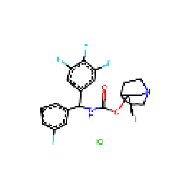 Cl.O=C(NC(c1cccc(F)c1)c1cc(F)c(F)c(F)c1)O[C@H]1CN2CCC1CC2